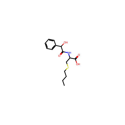 CCCCSCC(NC(=O)C(O)c1ccccc1)C(=O)O